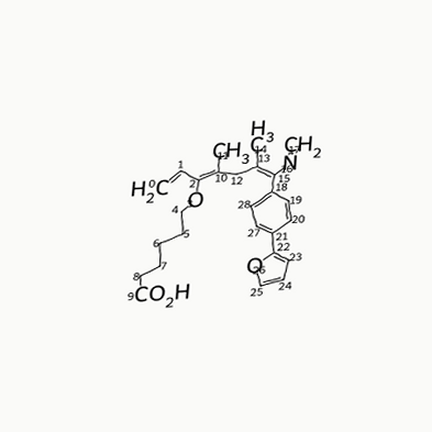 C=C/C(OCCCCCC(=O)O)=C(\C)C/C(C)=C(/N=C)c1ccc(-c2ccco2)cc1